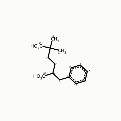 CC(C)(CCC(Cc1ccccc1)C(=O)O)C(=O)O